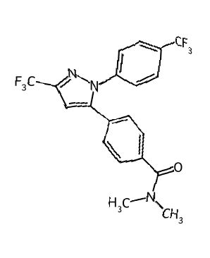 CN(C)C(=O)c1ccc(-c2cc(C(F)(F)F)nn2-c2ccc(C(F)(F)F)cc2)cc1